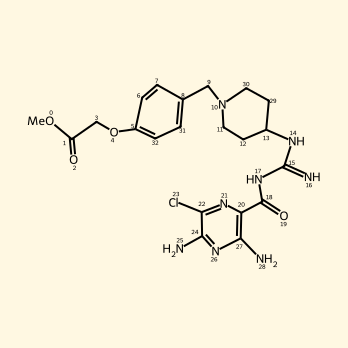 COC(=O)COc1ccc(CN2CCC(NC(=N)NC(=O)c3nc(Cl)c(N)nc3N)CC2)cc1